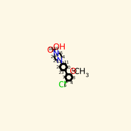 COc1ccc(Cl)cc1-c1ccc(N2CCN(C(=O)O)CC2)cc1